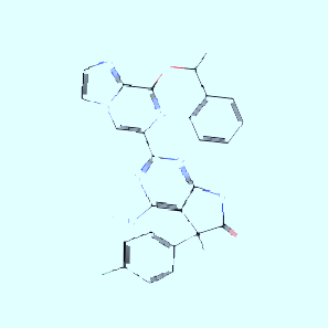 CC(Oc1nc(-c2nc(N)c3c(n2)NC(=O)C3(C)c2ccc(Cl)cc2)cn2ccnc12)c1ccccc1